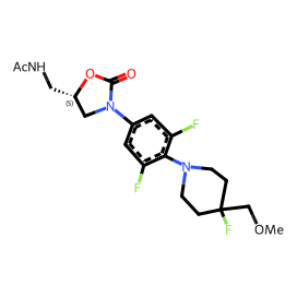 COCC1(F)CCN(c2c(F)cc(N3C[C@H](CNC(C)=O)OC3=O)cc2F)CC1